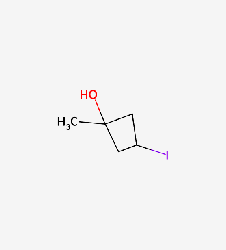 CC1(O)CC(I)C1